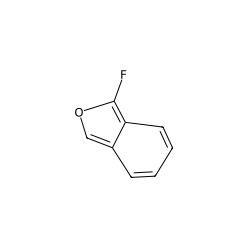 Fc1occ2ccccc12